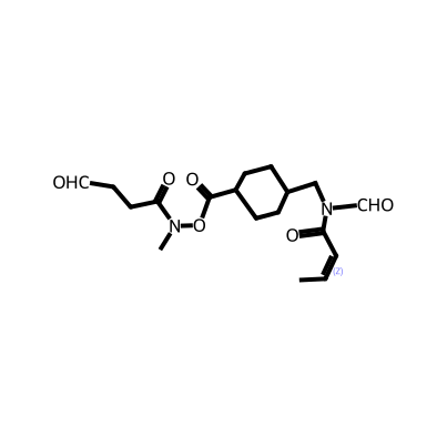 C/C=C\C(=O)N(C=O)CC1CCC(C(=O)ON(C)C(=O)CCC=O)CC1